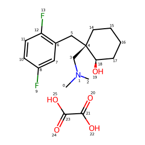 CN(C)C[C@@]1(Cc2cc(F)ccc2F)CCCC[C@H]1O.O=C(O)C(=O)O